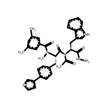 CC(=O)N(C(=O)[C@H](Cc1ccc(-c2ccsc2)cc1)N(C)C(=O)c1cc(C)cc(C)c1)[C@@H](Cc1c[nH]c2ccccc12)C(=O)NN